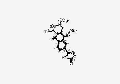 CCCCOc1c(CN(C(=O)O)C(C)(C)C)n(CC(C)C)c(=O)c2ccc(-c3noc(=O)[nH]3)cc12